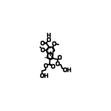 COc1cn2c(C(=O)OCCO)c(C(=O)OCCO)[c]c2c(OC)c1C(=O)O